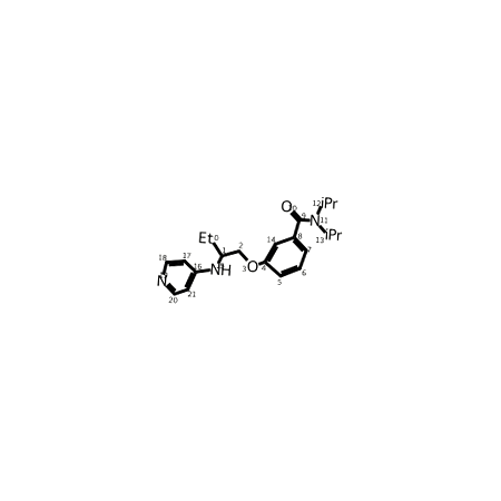 CCC(COc1cccc(C(=O)N(C(C)C)C(C)C)c1)Nc1ccncc1